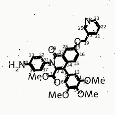 COC(=O)c1c(-c2cc(OC)c(OC)c(OC)c2)c2ccc(OCc3cccnc3)cc2c(=O)n1-c1ccc(N)cc1